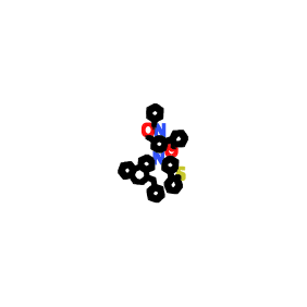 c1ccc(CC2CCc3ccccc3-c3ccc(N(c4ccc5sc6ccccc6c5c4)c4cc5c(c6c4oc4ccccc46)N=C(c4ccccc4)OC5)cc32)cc1